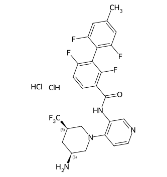 Cc1cc(F)c(-c2c(F)ccc(C(=O)Nc3cnccc3N3C[C@@H](N)C[C@@H](C(F)(F)F)C3)c2F)c(F)c1.Cl.Cl